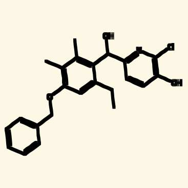 CCc1cc(OCc2ccccc2)c(C)c(C)c1C(O)c1ccc(O)c(Cl)n1